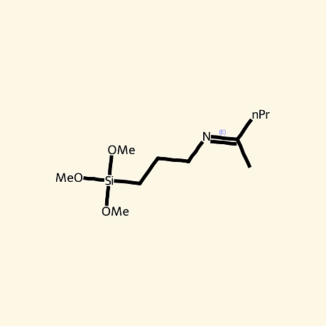 CCC/C(C)=N/CCC[Si](OC)(OC)OC